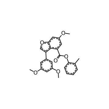 COc1cc(OC)cc(-c2coc3cc(OC)cc(C(=O)Oc4ccccc4C)c23)c1